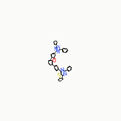 c1ccc(-c2nc(-c3ccccc3)nc(-c3ccc4c(c3)oc3c(-c5ccc(-c6nc(-c7ccccc7)nc7c6sc6ccccc67)cc5)cccc34)n2)cc1